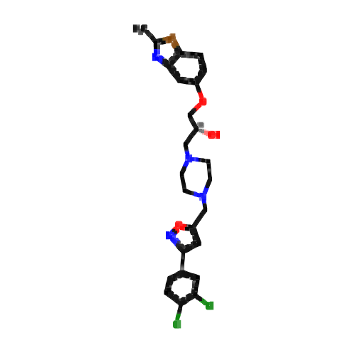 Cc1nc2cc(OC[C@H](O)CN3CCN(Cc4cc(-c5ccc(Cl)c(Cl)c5)no4)CC3)ccc2s1